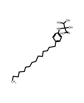 CCCCCCCCCCCCCCCc1ccc(NC(O)(C(=O)O)C(O)S)cc1